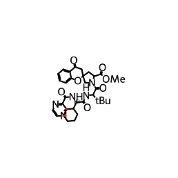 COC(=O)C1CC2(CC(=O)c3ccccc3O2)CN1C(=O)C(NC(=O)[C@@H](NC(=O)c1cnccn1)C1CCCCC1)C(C)(C)C